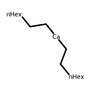 CCCCCCC[CH2][Ca][CH2]CCCCCCC